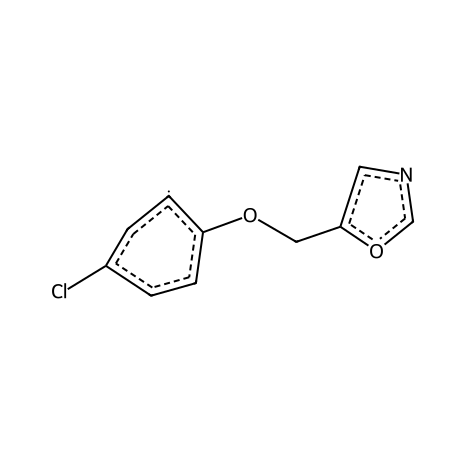 Clc1c[c]c(OCc2cnco2)cc1